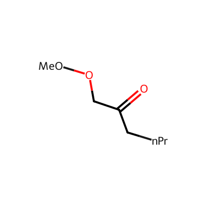 CCCCC(=O)COOC